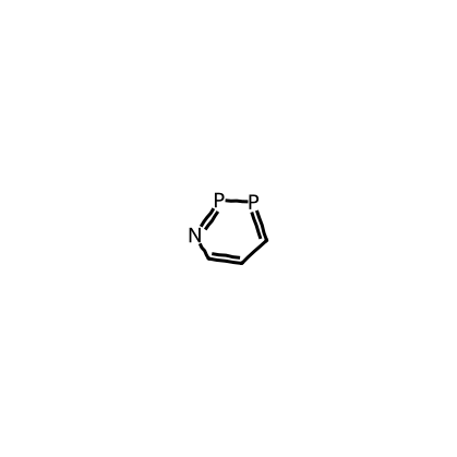 c1cnppc1